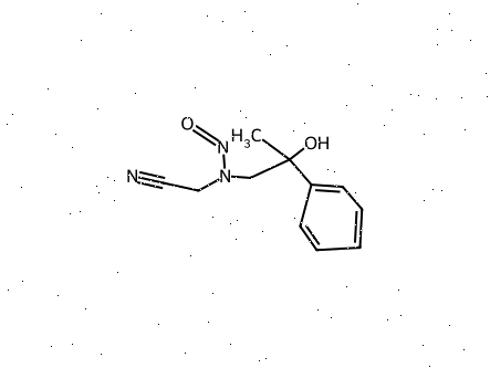 CC(O)(CN(CC#N)N=O)c1ccccc1